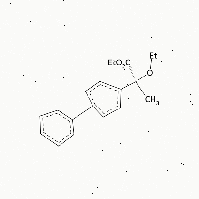 CCOC(=O)[C@@](C)(OCC)c1ccc(-c2ccccc2)cc1